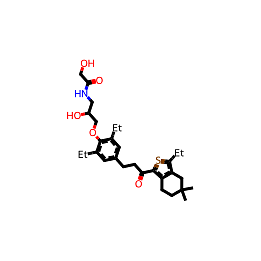 CCc1cc(CCC(=O)c2sc(CC)c3c2CCC(C)(C)C3)cc(CC)c1OCC(O)CNC(=O)CO